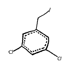 Clc1cc(Cl)cc(CI)c1